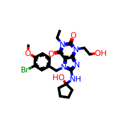 CCn1c(=O)c2c(nc(NC3(O)CCCC3)n2Cc2ccc(OC)c(Br)c2)n(CCO)c1=O